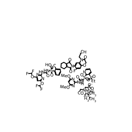 C#CCN1C(=O)COc2cc(F)c(N3C(=O)C4=C(CCCC4)C3=O)cc21.CCS(=O)(=O)c1cccnc1S(=O)(=O)NC(=O)Nc1nc(OC)cc(OC)n1.C[S+](C)C.O=C(Nc1nc(OC(F)F)cc(OC(F)F)n1)NS(=O)(=O)c1ccccc1C(=O)O.O=C(O)CNCP(=O)([O-])O